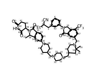 CCC(C#N)Cc1cccc(N2Cc3c(cc(CN4CCC(CN5CCN(CC6CCN(c7ccc8c(n7)C(C)N(C7CCC(=O)NC7=O)C8=O)CC6)CC5)CC4(C)C)cc3C(F)(F)F)C2=O)c1